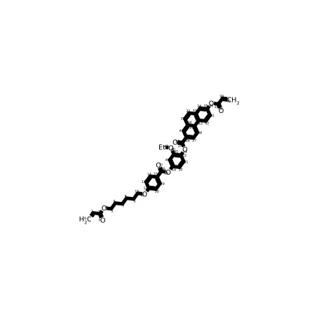 C=CC(=O)OCCCCCCOc1ccc(C(=O)Oc2ccc(OC(=O)c3ccc4c(ccc5cc(OC(=O)C=C)ccc54)c3)c(OCC)c2)cc1